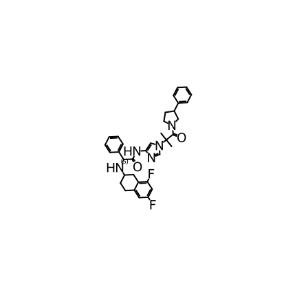 CC(C)(C(=O)N1CCC(c2ccccc2)C1)n1cnc(NC(=O)[C@@H](NC2CCc3cc(F)cc(F)c3C2)c2ccccc2)c1